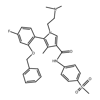 Cc1c(C(=O)Nc2ccc(S(C)(=O)=O)cc2)cn(CCN(C)C)c1-c1ccc(F)cc1OCc1ccccc1